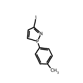 Cc1ccc(-p2ccc(I)n2)cc1